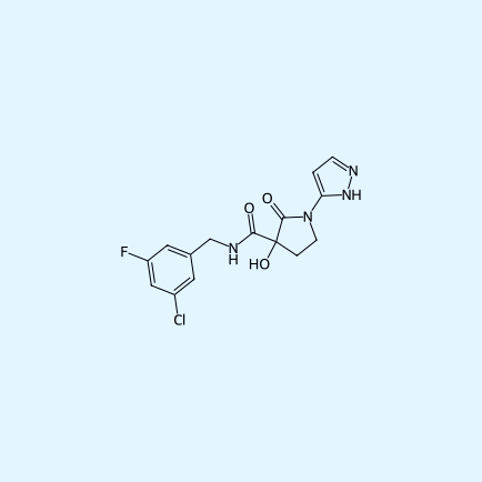 O=C(NCc1cc(F)cc(Cl)c1)C1(O)CCN(c2ccn[nH]2)C1=O